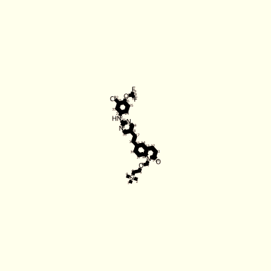 C[Si](C)(C)CCOCn1c(=O)ccc2cc(C=Cc3cnc(Nc4ccc(OC(F)F)c(Cl)c4)nc3)ccc21